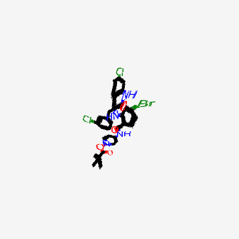 CC(C)(C)C(=O)ON1CCC(NC(=O)c2ccc(Br)cc2NC2(Cc3cccc(Cl)c3)C(=O)Nc3cc(Cl)ccc32)CC1